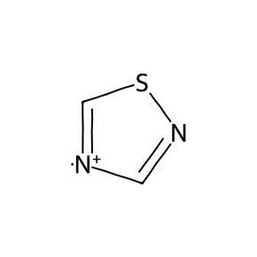 C1=NSC=[N+]1